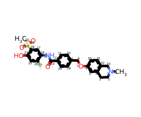 CN1CCc2cc(OCc3ccc(C(=O)Nc4cc(S(C)(=O)=O)c(O)cc4F)cc3)ccc2C1